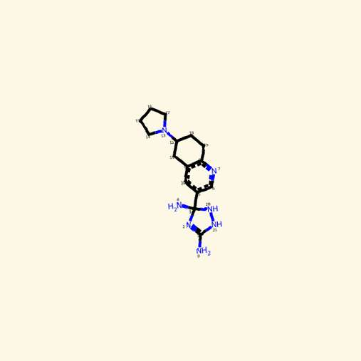 NC1=NC(N)(c2cnc3c(c2)CC(N2CCCC2)CC3)NN1